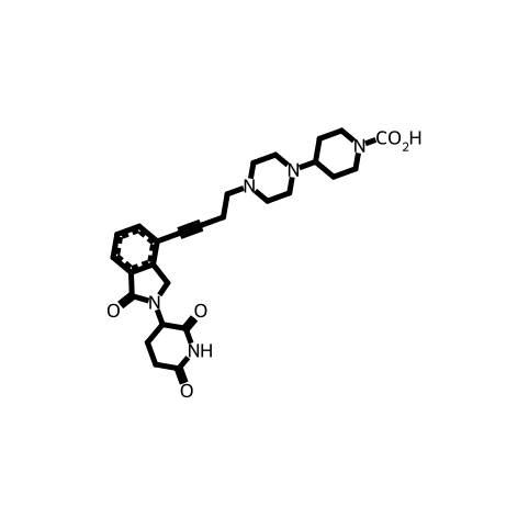 O=C1CCC(N2Cc3c(C#CCCN4CCN(C5CCN(C(=O)O)CC5)CC4)cccc3C2=O)C(=O)N1